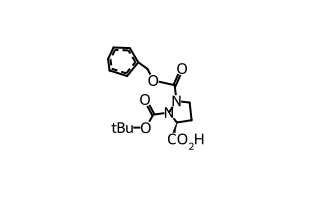 CC(C)(C)OC(=O)N1[C@H](C(=O)O)CCN1C(=O)OCc1ccccc1